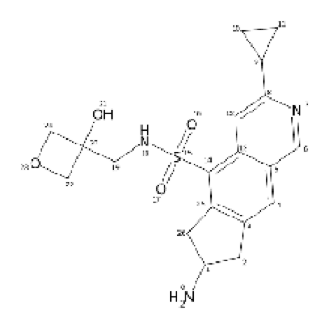 NC1Cc2cc3cnc(C4CC4)cc3c(S(=O)(=O)NCC3(O)COC3)c2C1